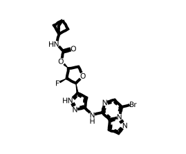 O=C(NC12CC(C1)C2)O[C@H]1CO[C@@H](c2cc(Nc3ncc(Br)n4nccc34)n[nH]2)[C@H]1F